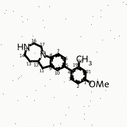 COc1ccc(-c2ccc3c(c2)CC2CCNCCN32)c(C)c1